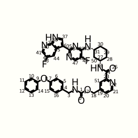 O=C(NCc1ccc(Oc2ccccc2)cc1)OCc1ccnc(C(=O)N[C@H]2CCC[C@@H](Nc3nc(-c4c[nH]c5ncc(F)cc45)ncc3F)C2)c1